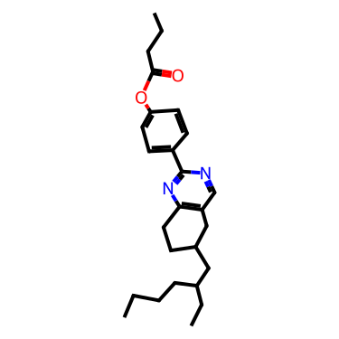 CCCCC(CC)CC1CCc2nc(-c3ccc(OC(=O)CCC)cc3)ncc2C1